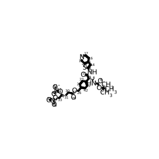 CC(C)(C)OC(=O)NC[C@@H](C(=O)Nc1cc2ccncc2s1)c1ccc(COC(=O)CC[C@H](CO[N+](=O)[O-])O[N+](=O)[O-])cc1